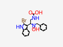 O=C(O)NCC(c1c(Br)[nH]c2ccccc12)N(O)Cc1ccccc1